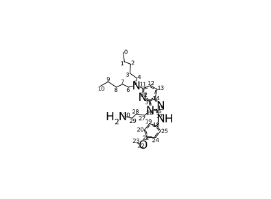 CCCCCN(CCCCC)c1ccc2nc(Nc3ccc(OC)cc3)n(CCCN)c2n1